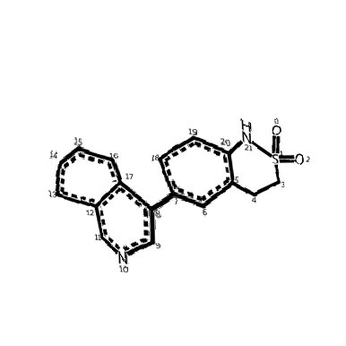 O=S1(=O)CCc2cc(-c3cncc4ccccc34)ccc2N1